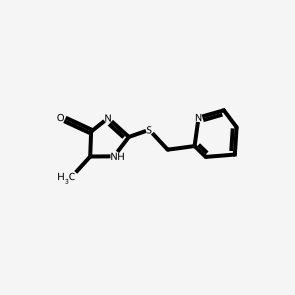 CC1NC(SCc2ccccn2)=NC1=O